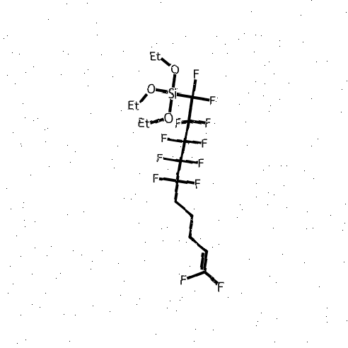 CCO[Si](OCC)(OCC)C(F)(F)C(F)(F)C(F)(F)C(F)(F)C(F)(F)CCCC=C(F)F